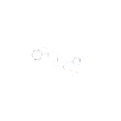 CN(C)C1(c2cccc(F)c2)CCC2(CC1)CN(c1cc(C(F)(F)F)nn1S(C)(=O)=O)C(=O)N2